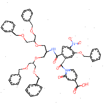 O=C(O)c1ccn(C(=O)c2cc(OCc3ccccc3)c([N+](=O)[O-])cc2C(=O)NC(COC(COCc2ccccc2)COCc2ccccc2)COC(COCc2ccccc2)COCc2ccccc2)c(=O)c1